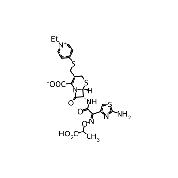 CC[n+]1ccc(SCC2=C(C(=O)[O-])N3C(=O)[C@@H](NC(=O)/C(=N\O[C@@H](C)C(=O)O)c4csc(N)n4)[C@H]3SC2)cc1